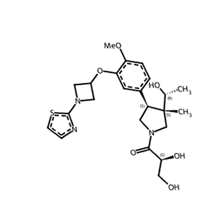 COc1ccc([C@@H]2CN(C(=O)[C@@H](O)CO)C[C@@]2(C)[C@@H](C)O)cc1OC1CN(c2nccs2)C1